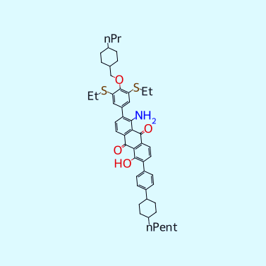 CCCCCC1CCC(c2ccc(-c3ccc4c(c3O)C(=O)c3ccc(-c5cc(SCC)c(OCC6CCC(CCC)CC6)c(SCC)c5)c(N)c3C4=O)cc2)CC1